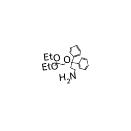 CCOC(COC(CCN)(c1ccccc1)c1ccccc1)OCC